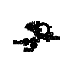 COc1ccc2c(O[C@@H]3C[C@H]4C(=O)N[C@]5(C(=O)NS(=O)(=O)C6(C)CC6)C[C@H]5/C=C\CC[C@@H](C)C[C@@H](C)[C@H](NC(=O)OC(C)(C)C)C(=O)N4C3)ncc(-c3ccc(OC)nc3)c2c1